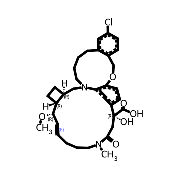 CO[C@H]1/C=C/CCCN(C)C(=O)C[C@](O)(C(=O)O)c2ccc3c(c2)N(CCCCc2cc(Cl)ccc2CO3)C[C@@H]2CC[C@H]21